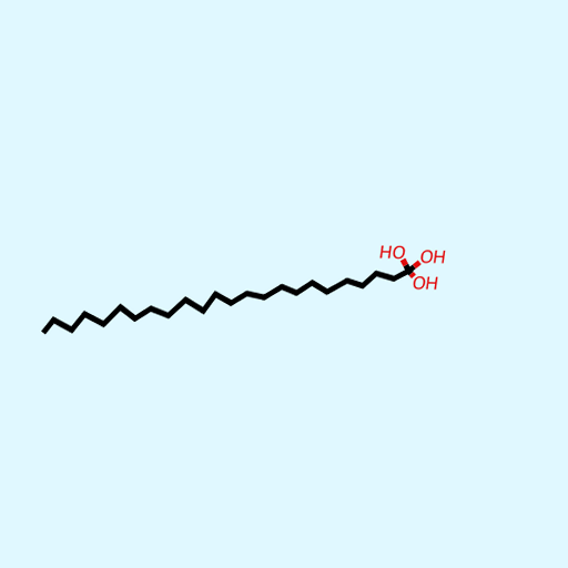 CCCCCCCCCCCCCCCCCCCCCCCC(O)(O)O